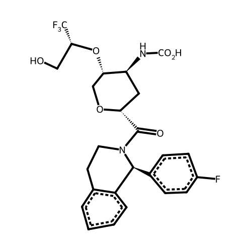 O=C(O)N[C@H]1C[C@H](C(=O)N2CCc3ccccc3[C@@H]2c2ccc(F)cc2)OC[C@@H]1O[C@H](CO)C(F)(F)F